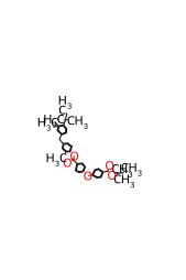 CCC(C)(C)OC(=O)c1ccc(Oc2ccc(C(=O)Oc3ccc(Cc4ccc(C(C)(C)CC)c(C)c4)cc3C)cc2)cc1